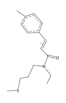 CCN(CCCSC)C(=O)/C=C/c1ccc(C)cc1